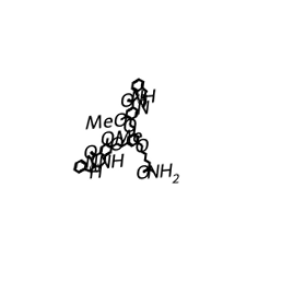 COc1cc2c(cc1OCc1cc(COc3cc4c(cc3OC)C(=O)N3c5ccccc5C[C@H]3CN4)cc(OCCCCC(N)=O)c1)N=C[C@@H]1Cc3ccccc3N1C2=O